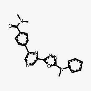 CN(C)C(=O)c1ccc(-c2cncc(-c3nnc(N(C)c4ccccc4)o3)n2)cc1